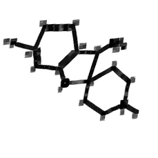 CN1CCC2(CC1)Oc1cc(F)ccc1C2N